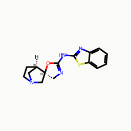 c1ccc2sc(NC3=NC[C@@]4(CN5CC[C@@H]4C5)O3)nc2c1